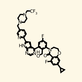 O=C1c2c(F)cc(C3CC3)cc2OCCN1c1cc(F)cc(-c2ncnc3[nH]c(-c4ccc(CN5CCN(CC(F)(F)F)CC5)cn4)cc23)c1CO